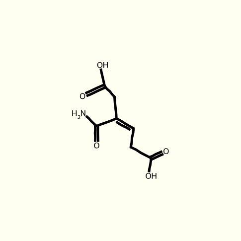 NC(=O)/C(=C\CC(=O)O)CC(=O)O